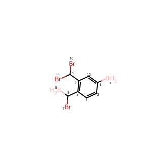 Bc1ccc(C(B)Br)c(C(Br)Br)c1